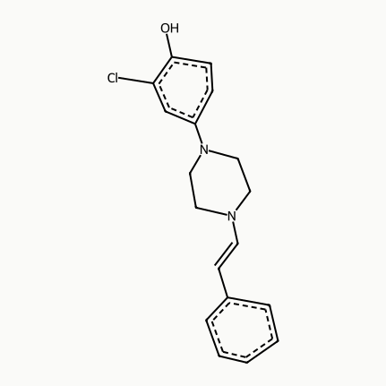 Oc1ccc(N2CCN(C=Cc3ccccc3)CC2)cc1Cl